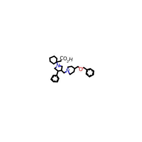 O=C(O)CC1(N2CC(CN3CCC(COCc4ccccc4)CC3)C(c3ccccc3)C2)CCCCC1